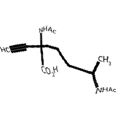 C#CC(CCC(C)NC(C)=O)(NC(C)=O)C(=O)O